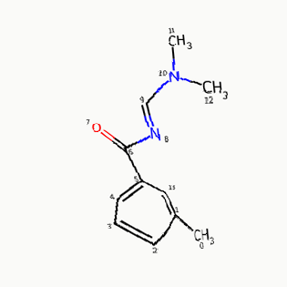 Cc1cccc(C(=O)N=CN(C)C)c1